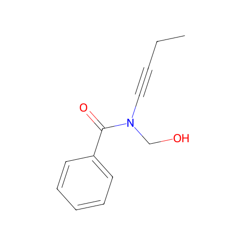 CCC#CN(CO)C(=O)c1ccccc1